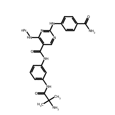 CCCNc1nc(Nc2ccc(C(N)=O)cc2)ncc1C(=O)Nc1cccc(NC(=O)C(C)(C)N)c1